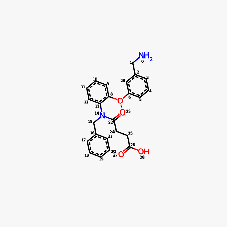 NCc1cccc(Oc2ccccc2N(Cc2ccccc2)C(=O)CCC(=O)O)c1